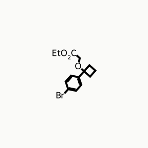 CCOC(=O)COC1(c2ccc(Br)cc2)CCC1